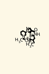 C=C(C)N1CCCC(n2ncc3c(=O)[nH]c(CC(CC)C(F)(F)F)nc32)C1